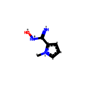 Cn1cccc1C(=N)NO